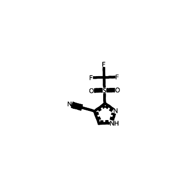 N#Cc1c[nH]nc1S(=O)(=O)C(F)(F)F